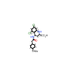 COc1ccc(CC(=O)NC2CC(C(=O)O)Nc3cc(Cl)cc(Cl)c32)cc1